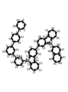 c1ccc(-c2ccc(-c3cccc(-c4cccc(-n5c6ccccc6c6cc(-c7ccc8c9ccccc9n(-c9ccc%10ccccc%10c9)c8c7)ccc65)n4)c3)cc2)cc1